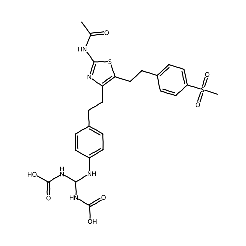 CC(=O)Nc1nc(CCc2ccc(NC(NC(=O)O)NC(=O)O)cc2)c(CCc2ccc(S(C)(=O)=O)cc2)s1